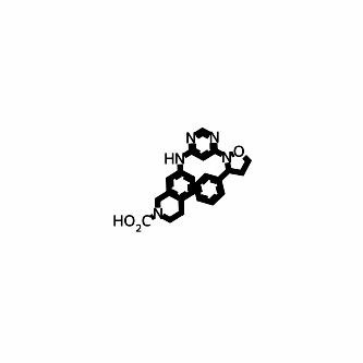 O=C(O)N1CCc2ccc(Nc3cc(N4OCCC4c4ccccc4)ncn3)cc2C1